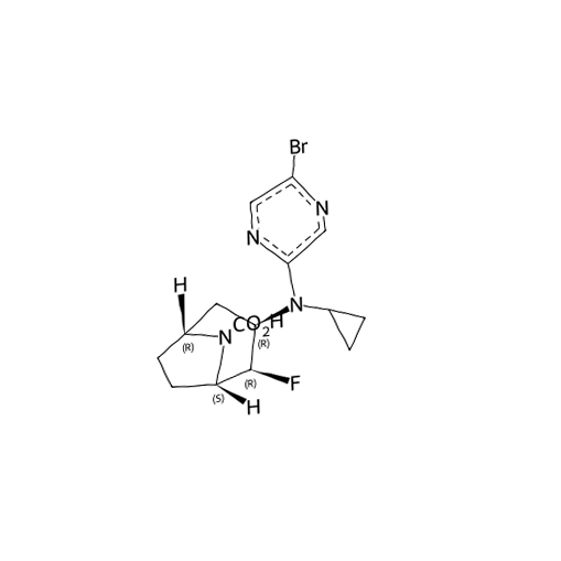 O=C(O)N1[C@@H]2CC[C@H]1[C@H](F)[C@H](N(c1cnc(Br)cn1)C1CC1)C2